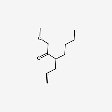 C=CCC(CCCC)C(=O)COC